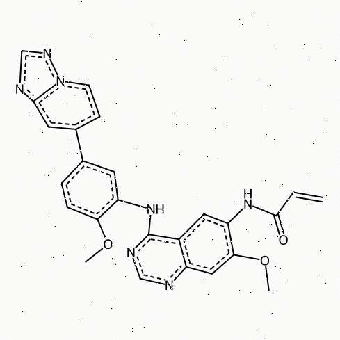 C=CC(=O)Nc1cc2c(Nc3cc(-c4ccn5ncnc5c4)ccc3OC)ncnc2cc1OC